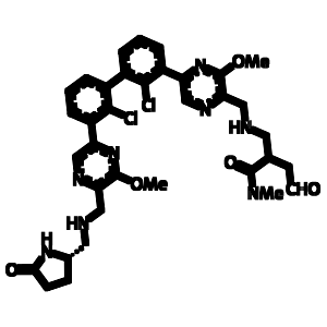 CNC(=O)C(CC=O)CNCc1ncc(-c2cccc(-c3cccc(-c4cnc(CNC[C@@H]5CCC(=O)N5)c(OC)n4)c3Cl)c2Cl)nc1OC